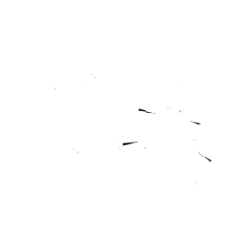 CC1(C)O[C@@H]2[C@H](O1)[C@@H](CO)O[C@H]2n1cnc(C(N)=O)c1C(N)=O